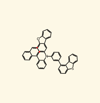 c1cc(-c2cccc3sc4ccccc4c23)cc(N(c2ccc3oc4ccccc4c3c2)c2ccccc2-c2cccc3ccccc23)c1